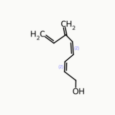 C=CC(=C)/C=C\C=C/CO